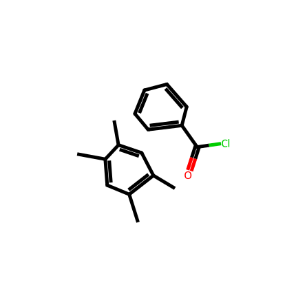 Cc1cc(C)c(C)cc1C.O=C(Cl)c1ccccc1